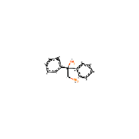 PCC(P)(c1ccccc1)c1ccccc1